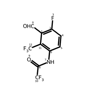 O=Cc1c(F)ccc(NC(=O)C(F)(F)F)c1C(F)(F)F